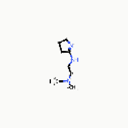 CN(C)CCNC1=NCCC1